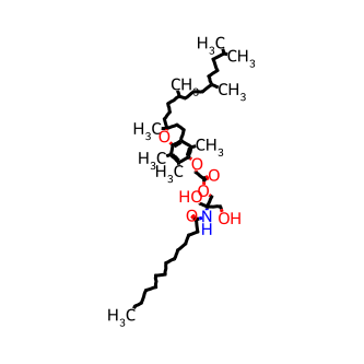 CCCCCCCCCCCCCC(=O)NC(CO)(CO)COC(=O)COc1c(C)c(C)c2c(c1C)CCC(C)(CCCC(C)CCCC(C)CCCC(C)C)O2